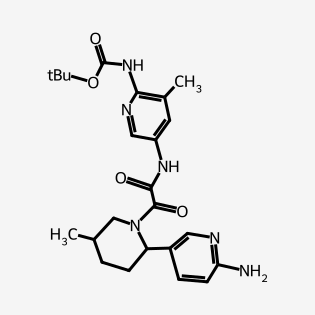 Cc1cc(NC(=O)C(=O)N2CC(C)CCC2c2ccc(N)nc2)cnc1NC(=O)OC(C)(C)C